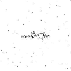 CC(C)N1CCC(c2nc(C(=O)O)cs2)CC1